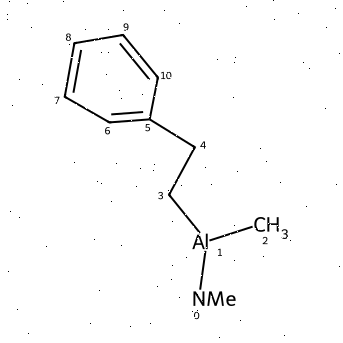 C[NH][Al]([CH3])[CH2]Cc1ccccc1